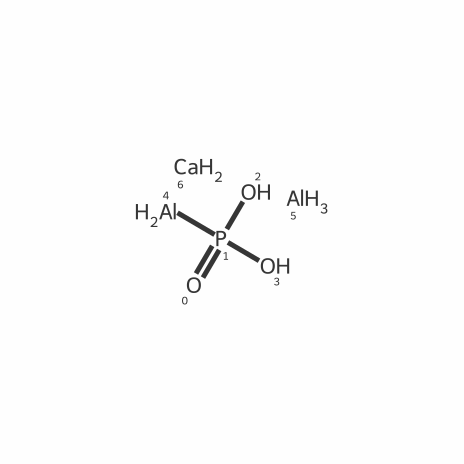 O=[P](O)(O)[AlH2].[AlH3].[CaH2]